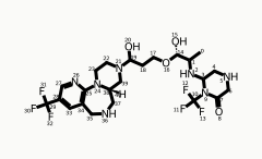 CC(NC1CNCC(=O)N1C(F)(F)F)[C@@H](O)OCCC(O)N1CCN2c3ncc(C(F)(F)F)cc3CNC[C@H]2C1